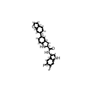 O=C(Nc1c[nH]c2cc(F)c(F)cc12)C1Cc2cc(-c3ccc4ccoc4c3)ccc2N1